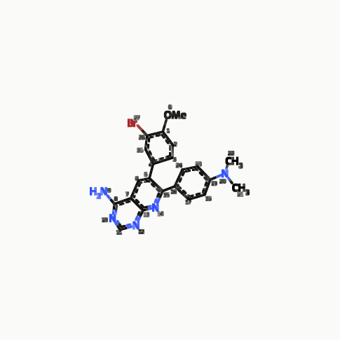 COc1ccc(-c2cc3c(N)ncnc3nc2-c2ccc(N(C)C)cc2)cc1Br